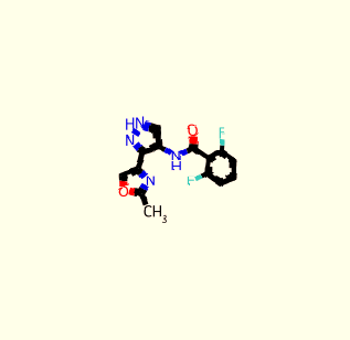 Cc1nc(-c2n[nH]cc2NC(=O)c2c(F)cccc2F)co1